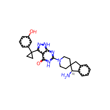 N[C@@H]1c2ccccc2CC12CCN(c1nc3[nH]nc(C4(c5cccc(O)c5)CC4)c3c(=O)[nH]1)CC2